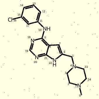 CN1CCN(Cc2cc3c(Nc4cccc(Cl)c4)ncnc3[nH]2)CC1